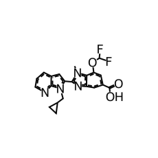 Cn1c(-c2cc3cccnc3n2CC2CC2)nc2cc(C(=O)O)cc(OC(F)F)c21